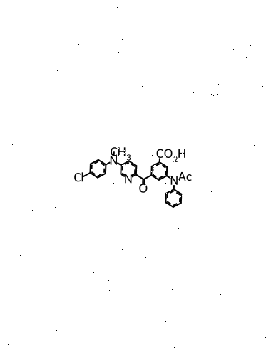 CC(=O)N(c1ccccc1)c1cc(C(=O)O)cc(C(=O)c2ccc(N(C)c3ccc(Cl)cc3)cn2)c1